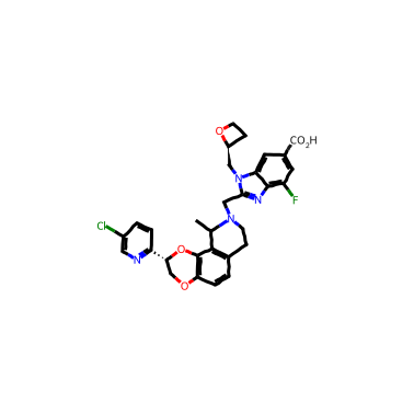 CC1c2c(ccc3c2O[C@@H](c2ccc(Cl)cn2)CO3)CCN1Cc1nc2c(F)cc(C(=O)O)cc2n1C[C@@H]1CCO1